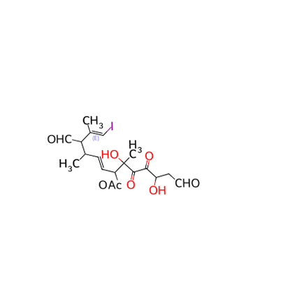 CC(=O)OC(C=CC(C)C(C=O)/C(C)=C/I)C(C)(O)C(=O)C(=O)C(O)CC=O